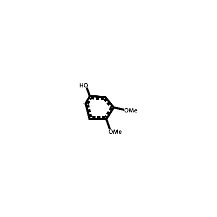 COc1c[c]c(O)cc1OC